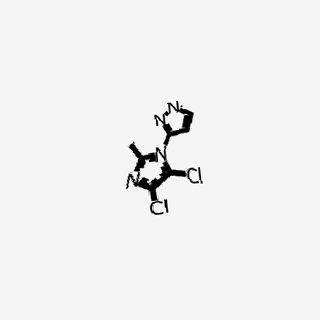 Cc1nc(Cl)c(Cl)n1C1=N[N]C=C1